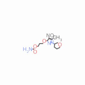 Cc1c([N+](=O)[O-])c(OCCCOC(N)=O)nn1C1CCCOC1